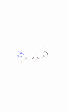 O=C(C=C(O)c1nc[nH]n1)c1ccc(Cc2cccc(F)c2)o1